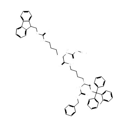 CC(C)(C)OC(=O)N[C@@H](CCCCNC(=O)OCC1c2ccccc2-c2ccccc21)C(=O)NCCCC[C@H](NC(=O)OCc1ccccc1)C(=O)OC(c1ccccc1)(c1ccccc1)c1ccccc1Cl